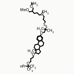 CCCC(OCCCOC1CCC2C3CCc4cc(OCC(C)(C)SSCCCN(C)CCCC(COC)CON)ccc4C3CCC12C)(C(F)(F)F)C(F)(F)F